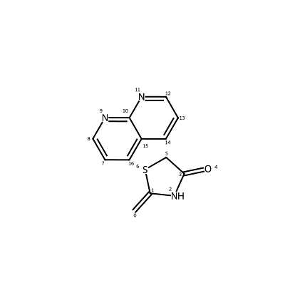 C=C1NC(=O)CS1.c1cnc2ncccc2c1